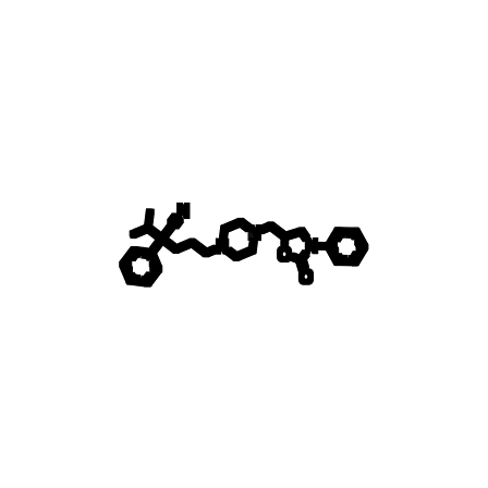 CC(C)C(C#N)(CCCN1CCN(CC2CN(c3ccccc3)C(=O)O2)CC1)c1ccccc1